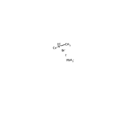 C[NH3+].[Br-].[Cs+].[I-].[PbH2]